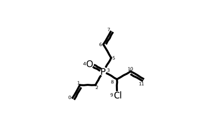 C=CCP(=O)(CC=C)C(Cl)C=C